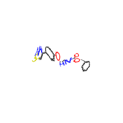 O=C(NCCOc1ccc(-c2csnn2)cc1)OCc1ccccc1